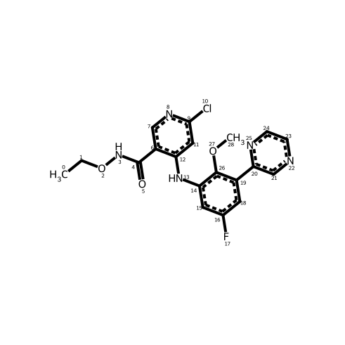 CCONC(=O)c1cnc(Cl)cc1Nc1cc(F)cc(-c2cnccn2)c1OC